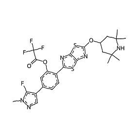 Cn1ncc(-c2ccc(-c3nc4sc(OC5CC(C)(C)NC(C)(C)C5)nc4s3)c(OC(=O)C(F)(F)F)c2)c1F